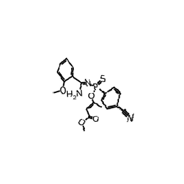 COC(=O)C=C(C)OP(=S)(N=C(N)c1ccccc1OC)c1ccc(C#N)cc1